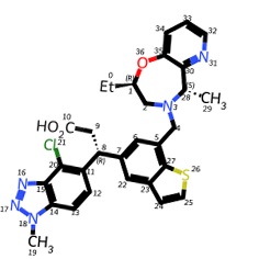 CC[C@@H]1CN(Cc2cc([C@@H](CC(=O)O)c3ccc4c(nnn4C)c3Cl)cc3ccsc23)[C@@H](C)c2ncccc2O1